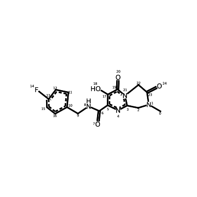 CN1Cc2nc(C(=O)NCc3ccc(F)cc3)c(O)c(=O)n2CC1=O